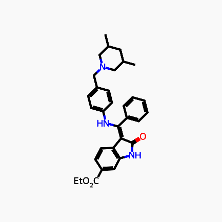 CCOC(=O)c1ccc2c(c1)NC(=O)C2=C(Nc1ccc(CN2CC(C)CC(C)C2)cc1)c1ccccc1